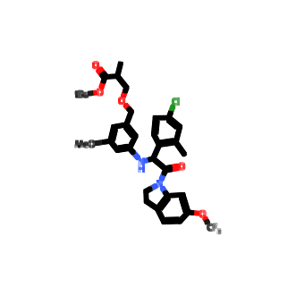 COc1cc(COCC(C)C(=O)OC(C)(C)C)cc(NC(C(=O)N2CCc3ccc(OC(F)(F)F)cc32)c2ccc(Cl)cc2C)c1